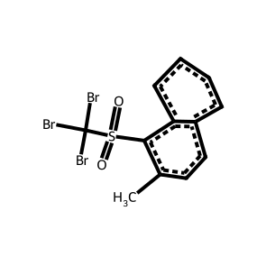 Cc1ccc2ccccc2c1S(=O)(=O)C(Br)(Br)Br